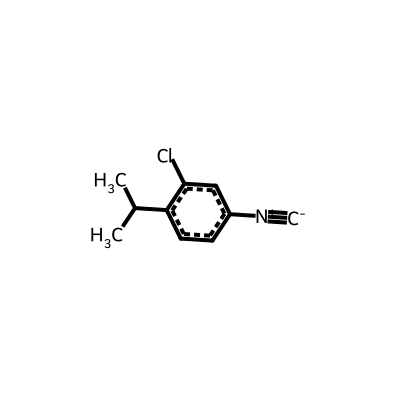 [C-]#[N+]c1ccc(C(C)C)c(Cl)c1